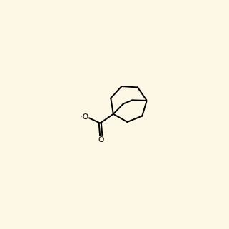 [O]C(=O)C12CCCC(CC1)CC2